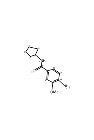 COc1cc(C(=O)NC2CCCC2)ccc1N